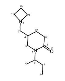 CCC(C)N1CC(CN2CCC2)CCC1=O